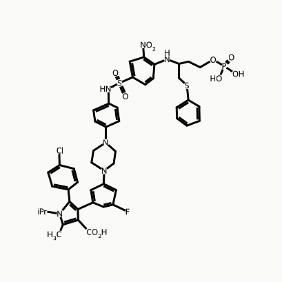 Cc1c(C(=O)O)c(-c2cc(F)cc(N3CCN(c4ccc(NS(=O)(=O)c5ccc(NC(CCOP(=O)(O)O)CSc6ccccc6)c([N+](=O)[O-])c5)cc4)CC3)c2)c(-c2ccc(Cl)cc2)n1C(C)C